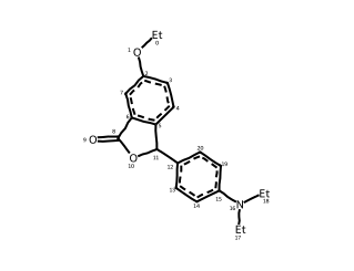 CCOc1ccc2c(c1)C(=O)OC2c1ccc(N(CC)CC)cc1